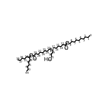 CCCCCCCCCCOC(=O)CCCCCN(CCCO)CCCCCCCC(=O)OC(CCCCC)CCCCCC